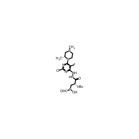 CCCC[C@H](CN(O)C=O)C(=O)NNc1nc(Cl)nc(N2CCN(C)C[C@H]2C)c1F